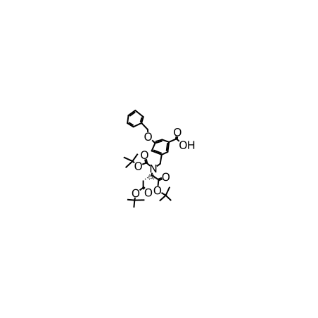 CC(C)(C)OC(=O)C[C@@H](C(=O)OC(C)(C)C)N(Cc1cc(OCc2ccccc2)cc(C(=O)O)c1)C(=O)OC(C)(C)C